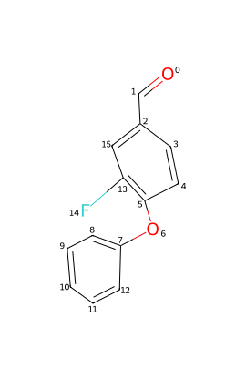 O=Cc1ccc(Oc2ccccc2)c(F)c1